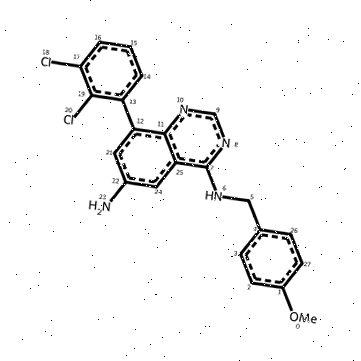 COc1ccc(CNc2ncnc3c(-c4cccc(Cl)c4Cl)cc(N)cc23)cc1